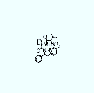 CC(C)C(N)C(=O)NC1(C(=O)NC(Cc2ccccn2)c2ccccc2)CCC1